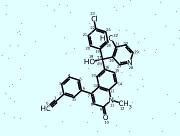 C#Cc1cccc(-c2cc(=O)n(C)c3ccc([C@](O)(c4ccc(Cl)cc4)c4cnccc4C)cc23)c1